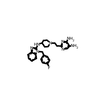 Nc1cnc(CCN2CCC(Nc3nc4ccccc4n3Cc3ccc(F)cc3)CC2)nc1N